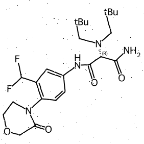 CC(C)(C)CN(CC(C)(C)C)[C@H](C(N)=O)C(=O)Nc1ccc(N2CCOCC2=O)c(C(F)F)c1